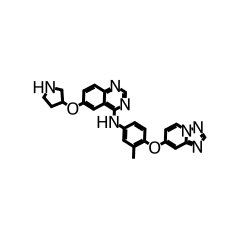 Cc1cc(Nc2ncnc3ccc(OC4CCNC4)cc23)ccc1Oc1ccn2ncnc2c1